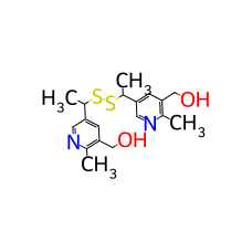 Cc1ncc(C(C)SSC(C)c2cnc(C)c(CO)c2)cc1CO